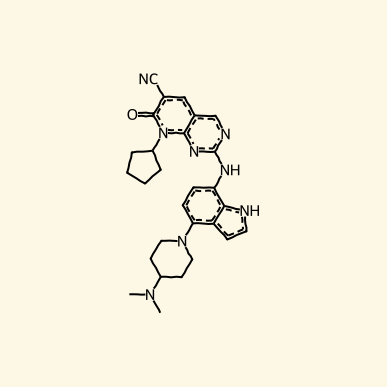 CN(C)C1CCN(c2ccc(Nc3ncc4cc(C#N)c(=O)n(C5CCCC5)c4n3)c3[nH]ccc23)CC1